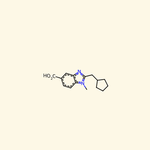 Cn1c(CC2CCCC2)nc2cc(C(=O)O)ccc21